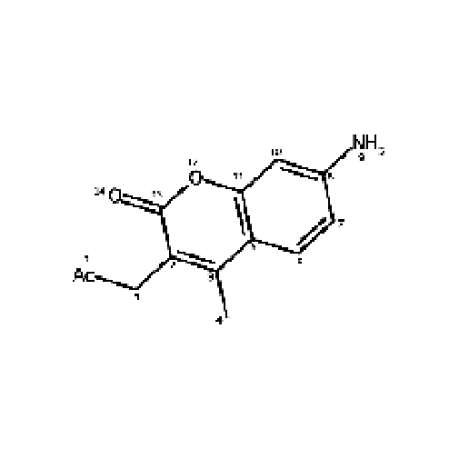 CC(=O)Cc1c(C)c2ccc(N)cc2oc1=O